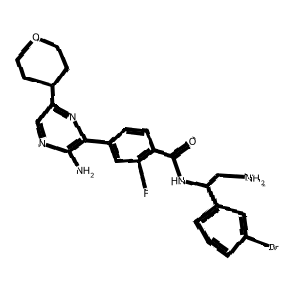 NCC(NC(=O)c1ccc(-c2nc(C3CCOCC3)cnc2N)cc1F)c1cccc(Br)c1